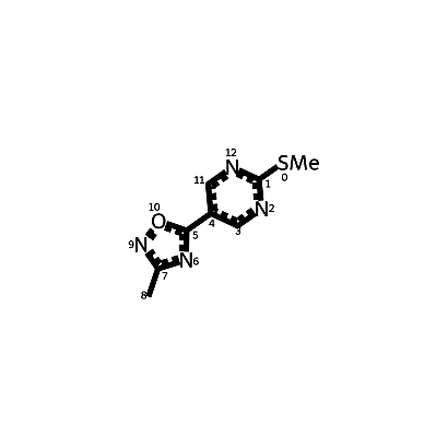 CSc1ncc(-c2nc(C)no2)cn1